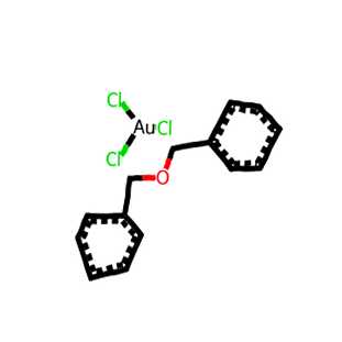 [Cl][Au]([Cl])[Cl].c1ccc(COCc2ccccc2)cc1